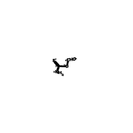 NC(=S)O[C]=O